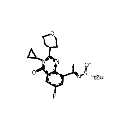 C/C(=N\[S@+]([O-])C(C)(C)C)c1cc(F)cc2c(=O)n(C3CC3)c(C3CCOCC3)nc12